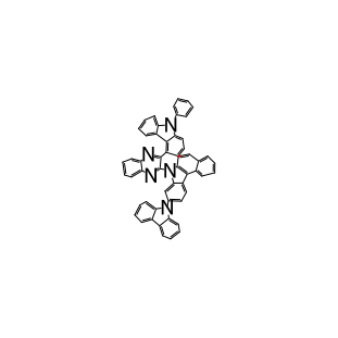 c1ccc(-n2c3ccccc3c3c(-c4nc5ccccc5nc4-n4c5cc(-n6c7ccccc7c7ccccc76)ccc5c5c6ccccc6ccc54)cccc32)cc1